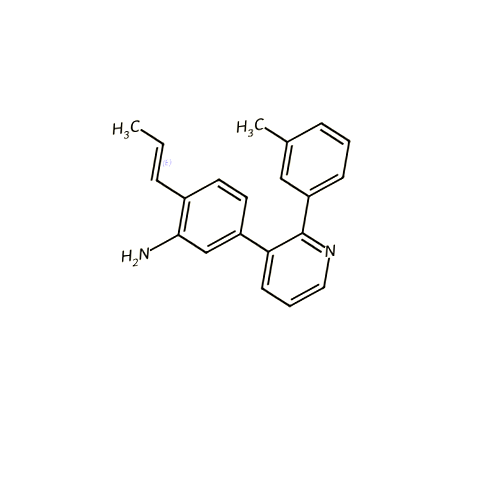 C/C=C/c1ccc(-c2cccnc2-c2cccc(C)c2)cc1N